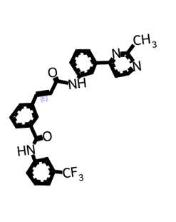 Cc1nccc(-c2cccc(NC(=O)/C=C/c3cccc(C(=O)Nc4cccc(C(F)(F)F)c4)c3)c2)n1